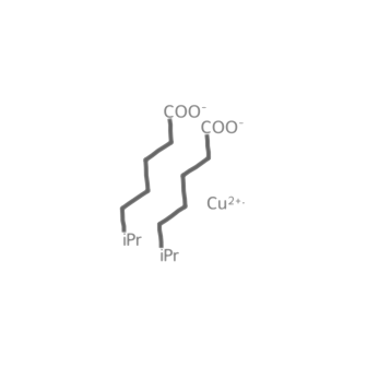 CC(C)CCCCC(=O)[O-].CC(C)CCCCC(=O)[O-].[Cu+2]